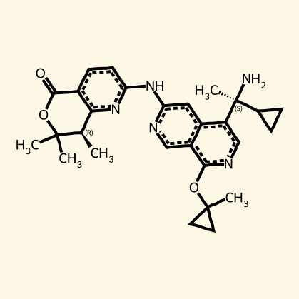 C[C@@H]1c2nc(Nc3cc4c([C@@](C)(N)C5CC5)cnc(OC5(C)CC5)c4cn3)ccc2C(=O)OC1(C)C